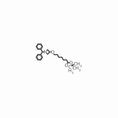 CC(C)(C)OC(=O)CCCCCCOC1CN(C(c2ccccc2)c2ccccc2)C1